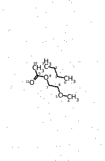 CCCC.COCCOC(C)=O